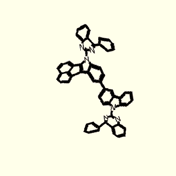 c1ccc(-c2nc(-n3c4c(c5cc(-c6ccc7c(c6)c6ccccc6n7-c6nc(-c7ccccc7)c7ccccc7n6)ccc53)-c3cccc5cccc-4c35)nc3ccccc23)cc1